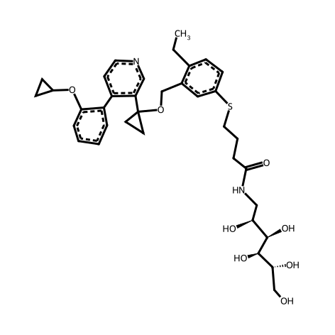 CCc1ccc(SCCCC(=O)NC[C@H](O)[C@@H](O)[C@H](O)[C@H](O)CO)cc1COC1(c2cnccc2-c2ccccc2OC2CC2)CC1